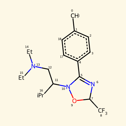 [CH]c1ccc(C2=NC(C(F)(F)F)ON2C(CN(CC)CC)C(C)C)cc1